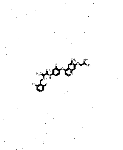 C=C(NCc1c(F)cccc1CC)C(=C)Nc1ccc(Oc2ccnc3cc(OCC(CCC)CCC)c(C)cc23)c(F)c1